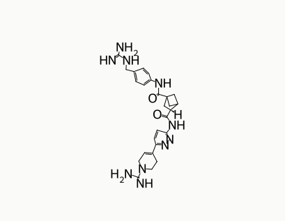 N=C(N)NCc1ccc(NC(=O)C23CC(C2)[C@H](C(=O)Nc2ccc(C4=CCN(C(=N)N)CC4)nn2)C3)cc1